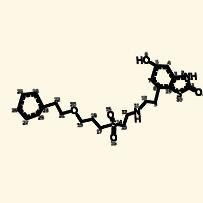 O=c1[nH]c2cc(O)cc(CCNCCS(=O)(=O)CCCOCCc3ccccc3)c2s1